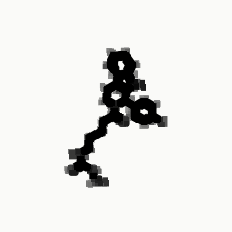 CC(C)(C)OC(=O)NCCCCC(=O)N1CCc2c([nH]c3ccccc23)C1c1ccc(Cl)cc1